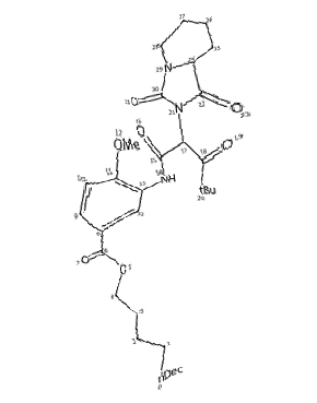 CCCCCCCCCCCCCCOC(=O)c1ccc(OC)c(NC(=O)C(C(=O)C(C)(C)C)N2C(=O)C3CCCCN3C2=O)c1